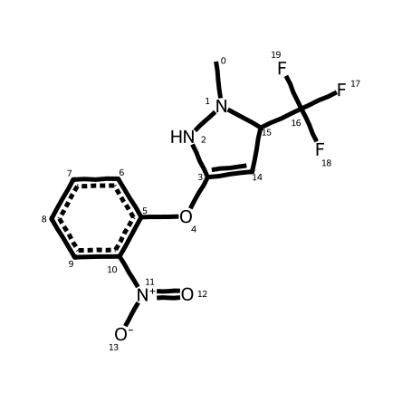 CN1NC(Oc2ccccc2[N+](=O)[O-])=CC1C(F)(F)F